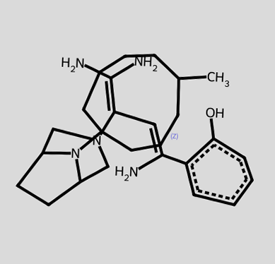 CC1CCCCC(N2C3CCC2CN(C(/C=C(\N)c2ccccc2O)=C(N)N)C3)CCC1